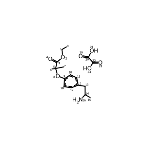 CCOC(=O)C(C)(C)Oc1ccc(CC(C)N)cc1.O=C(O)C(=O)O